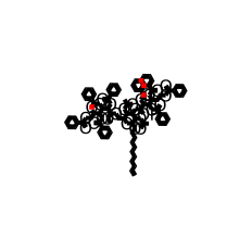 C=CCCCCCCCCOC1OC(COC(OC)C(OC(=O)c2ccccc2)C(OC(=O)c2ccccc2)C(OC(=O)c2ccccc2)C(C)COC(=O)c2ccccc2)C(OC(C)=O)C(OC(O)C(OC(=O)c2ccccc2)C(OC(=O)c2ccccc2)C(CCOC(=O)c2ccccc2)OC(=O)c2ccccc2)C1OC(C)=O